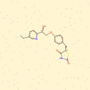 CCc1ccc([C@@H](O)COc2ccc(C[C@H]3SC(=O)NC3=O)cc2)nc1